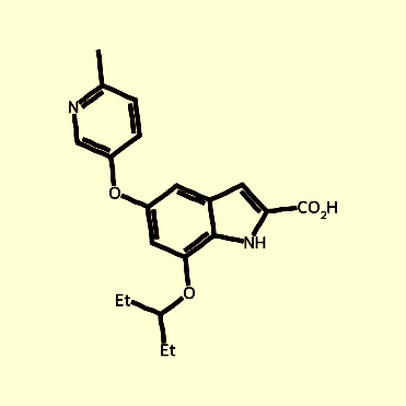 CCC(CC)Oc1cc(Oc2ccc(C)nc2)cc2cc(C(=O)O)[nH]c12